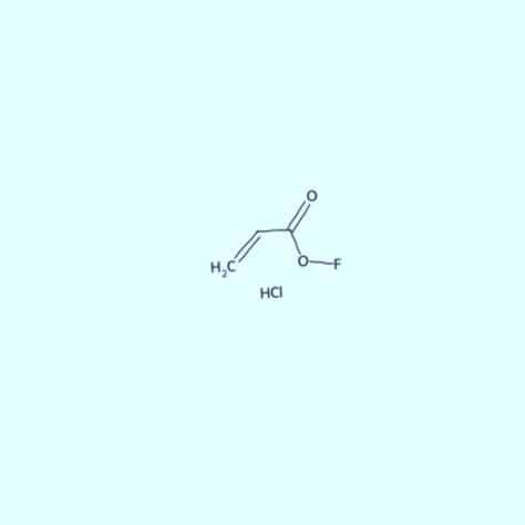 C=CC(=O)OF.Cl